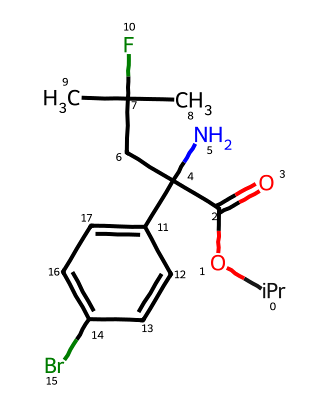 CC(C)OC(=O)C(N)(CC(C)(C)F)c1ccc(Br)cc1